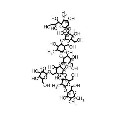 CC1[C@H](O[C@@H]2C(CO)O[C@@H](C)C(C)[C@H]2O)OC(CO)[C@@H](O[C@@H]2OC(CO[C@H]3OC(CO)[C@@H](O)C(O)[C@H]3O)[C@@H](O)C(O[C@H]3O[C@H](CO)[C@@H](O)C(O)C3O[C@@H]3OC(CO)[C@@H](O[C@@H]4OC(CO)[C@H](O)C(O[C@]5(C(=O)O)C[C@@H](O)[C@@H](N)C([C@H](O)[C@H](O)CO)O5)[C@@H]4O)C(O)[C@@H]3C)[C@H]2O)[C@@H]1O